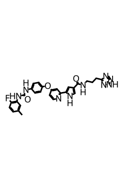 Cc1ccc(F)c(NC(=O)Nc2ccc(Oc3ccnc(-c4cc(C(=O)NCCCc5nn[nH]n5)c[nH]4)c3)cc2)c1